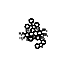 Bc1c(B)c(B)c(-c2cc(S(c3ccccc3)(c3ccccc3)c3ccccc3)cc(-c3c(B)c(B)c(B)c(B)c3B)c2-n2c3ccccc3c3cc(-c4cccc5sc6ccccc6c45)ccc32)c(B)c1B